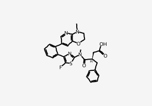 CN1CCOc2cc(-c3ccccc3-c3nc(N(C)C(=O)[C@@H](CC(=O)O)Cc4ccccc4)sc3F)cnc21